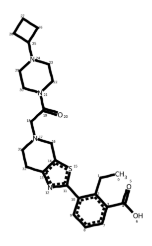 CCc1c(C(=O)O)cccc1-c1nc2c(s1)CN(CC(=O)N1CCN(C3CCC3)CC1)CC2